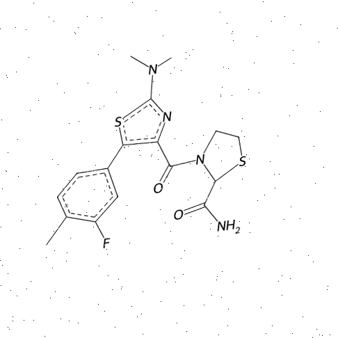 Cc1ccc(-c2sc(N(C)C)nc2C(=O)N2CCSC2C(N)=O)cc1F